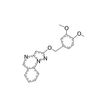 COc1ccc(COc2cc3ncc4ccccc4n3n2)cc1OC